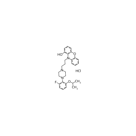 CC(C)Oc1cccc(F)c1N1CCN(CCCN2c3ccccc3Oc3cccc(O)c32)CC1.Cl